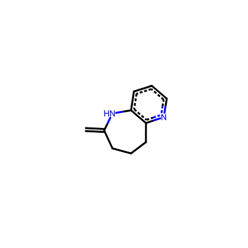 C=C1CCCc2ncccc2N1